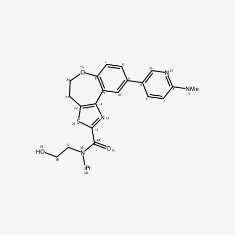 CNc1ccc(-c2ccc3c(c2)-c2nc(C(=O)N(CCO)C(C)C)sc2CCO3)cn1